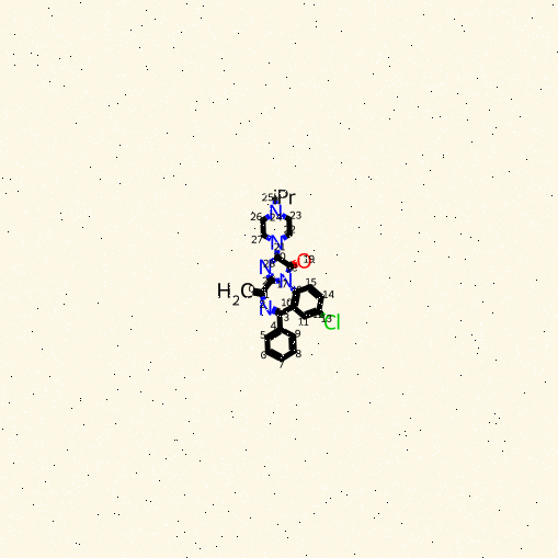 C=C1N=C(c2ccccc2)c2cc(Cl)ccc2N2C(=O)C(N3CCN(C(C)C)CC3)N=C12